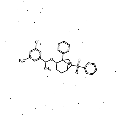 CC(OC1CCC2NC1(c1ccccc1)CC2S(=O)(=O)c1ccccc1)c1cc(C(F)(F)F)cc(C(F)(F)F)c1